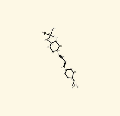 CC[C@H]1CC[C@H](C=CC#C[C@H]2CC[C@H](OC(F)(F)F)CC2)CC1